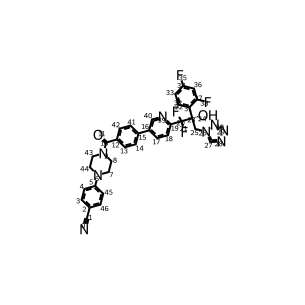 N#Cc1ccc(N2CCN(C(=O)c3ccc(-c4ccc(C(F)(F)[C@](O)(Cn5cnnn5)c5ccc(F)cc5F)nc4)cc3)CC2)cc1